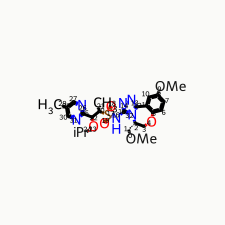 COC[C@H]1COc2ccc(OC)cc2-c2nnc(NS(=O)(=O)C(C)C(OC(C)C)c3ncc(C)cn3)n21